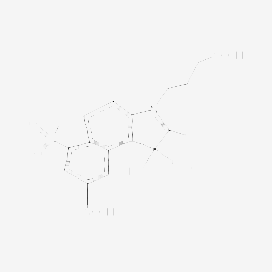 CC1=[N+](CCCS(=O)(=O)O)c2ccc3c(S(=O)(=O)[O-])cc(S(=O)(=O)O)cc3c2C1(C)C